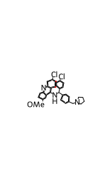 COc1ccc2nc3cc(Cl)ccc3c(NC(c3ccc(Cl)cc3)c3ccc(CN4CCCC4)cc3)c2c1